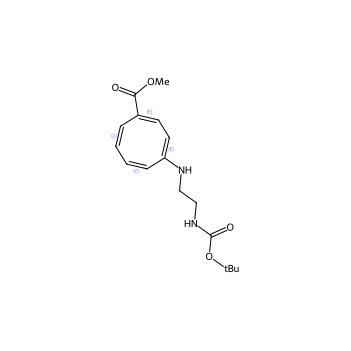 COC(=O)C1=C/C=C(NCCNC(=O)OC(C)(C)C)\C=C/C=C\1